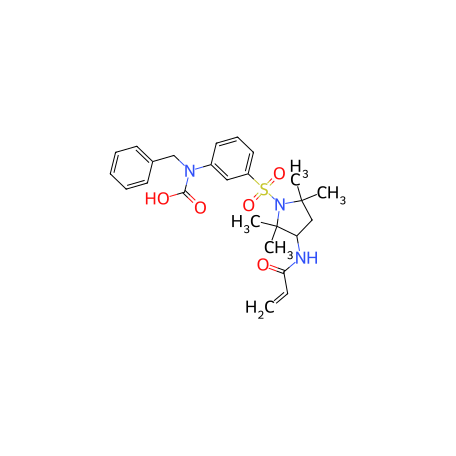 C=CC(=O)NC1CC(C)(C)N(S(=O)(=O)c2cccc(N(Cc3ccccc3)C(=O)O)c2)C1(C)C